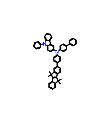 CC1(C)C2=C(c3ccccc31)C(C)(C)c1cc(-c3ccc(N(c4ccc(-c5ccccc5)cc4)c4ccc5c(c4)c4ccccc4n5-c4ccccc4)cc3)ccc12